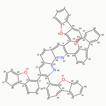 c1ccc2c(c1)oc1c(-c3cc4ccc5cc(-c6cccc7c6oc6ccccc67)c(-c6cccc7c6oc6ccccc67)nc5c4nc3-c3cccc4c3oc3ccccc34)cccc12